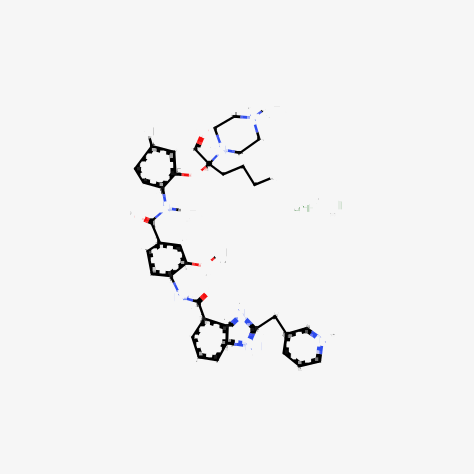 CCCCC(C=O)(Oc1cc(C)ccc1N(C)C(=O)c1ccc(NC(=O)c2cccc3[nH]c(Cc4cccnc4)nc23)c(OC)c1)N1CCN(C)CC1.Cl.Cl.Cl